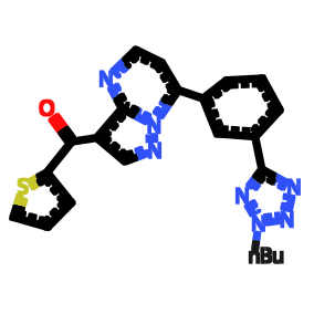 CCCCn1nnc(-c2cccc(-c3ccnc4c(C(=O)c5cccs5)cnn34)c2)n1